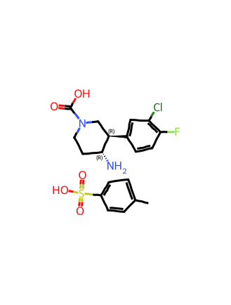 Cc1ccc(S(=O)(=O)O)cc1.N[C@@H]1CCN(C(=O)O)C[C@H]1c1ccc(F)c(Cl)c1